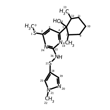 CSc1cc(C2(O)C(C)CCCC2C)nc(NSc2cnn(C)c2)n1